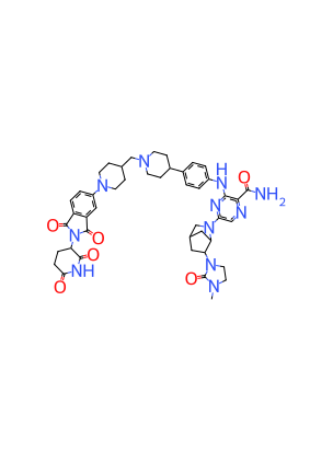 CN1CCN(C2CC3CC2N(c2cnc(C(N)=O)c(Nc4ccc(C5CCN(CC6CCN(c7ccc8c(c7)C(=O)N(C7CCC(=O)NC7=O)C8=O)CC6)CC5)cc4)n2)C3)C1=O